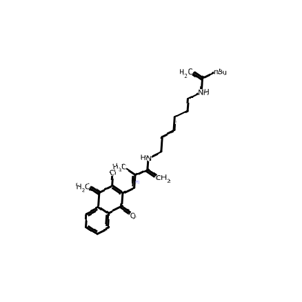 C=C(CCCC)NCCCCCCNC(=C)/C(C)=C/C1=C(Cl)C(=C)c2ccccc2C1=O